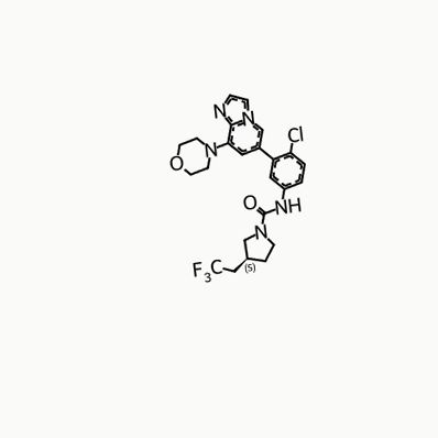 O=C(Nc1ccc(Cl)c(-c2cc(N3CCOCC3)c3nccn3c2)c1)N1CC[C@@H](CC(F)(F)F)C1